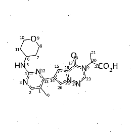 Cc1cnc(NC2CCOCC2)nc1-c1cc2c(=O)n(C(C)C(=O)O)cnn2c1